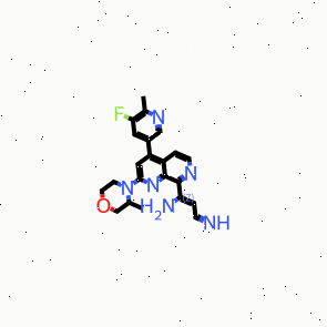 Cc1ncc(-c2cc(N3CCOCC3C)nc3c(/C(N)=C/C=N)nccc23)cc1F